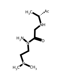 CC(=O)[C@@H](C)NCC(=O)N(N)CCN(C)C